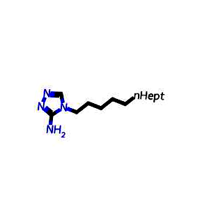 CCCCCCCCCCCCn1cnnc1N